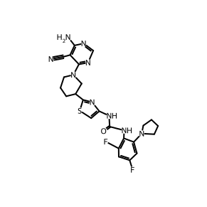 N#Cc1c(N)ncnc1N1CCCC(c2nc(NC(=O)Nc3c(F)cc(F)cc3N3CCCC3)cs2)C1